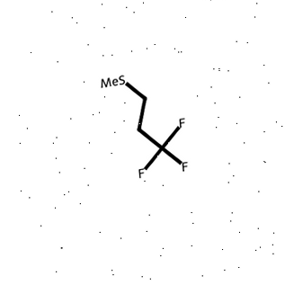 CSCCC(F)(F)F